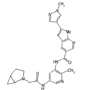 Cc1ncc(NC(=O)CN2CCC3CC32)cc1NC(=O)c1cnc2[nH]c(-c3cnn(C)c3)cc2c1